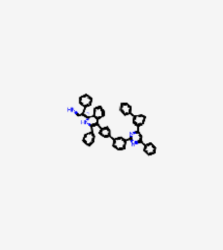 N=C/C(=C1\NC(c2ccccc2)=C(c2ccc(-c3cccc(-c4nc(-c5ccccc5)cc(-c5cccc(-c6ccccc6)c5)n4)c3)cc2)c2ccccc21)c1ccccc1